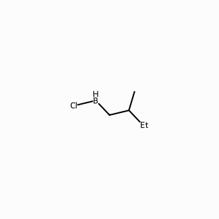 CCC(C)CBCl